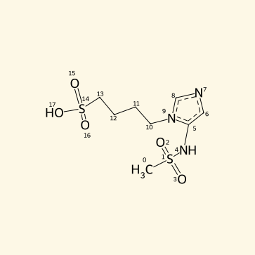 CS(=O)(=O)Nc1cncn1CCCCS(=O)(=O)O